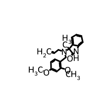 C=CCN(Cc1ccc(OC)cc1OC)C1(C)C(=O)Nc2ccccc21